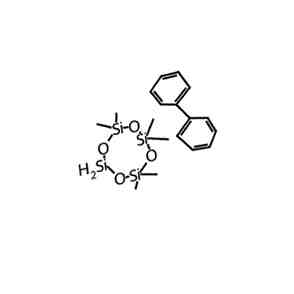 C[Si]1(C)O[SiH2]O[Si](C)(C)O[Si](C)(C)O1.c1ccc(-c2ccccc2)cc1